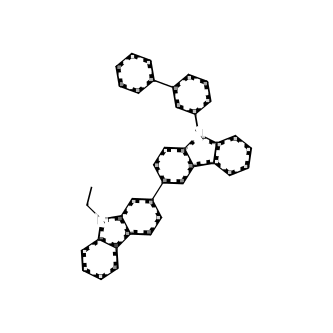 CCn1c2ccccc2c2ccc(-c3ccc4c(c3)c3ccccc3n4-c3cccc(-c4ccccc4)c3)cc21